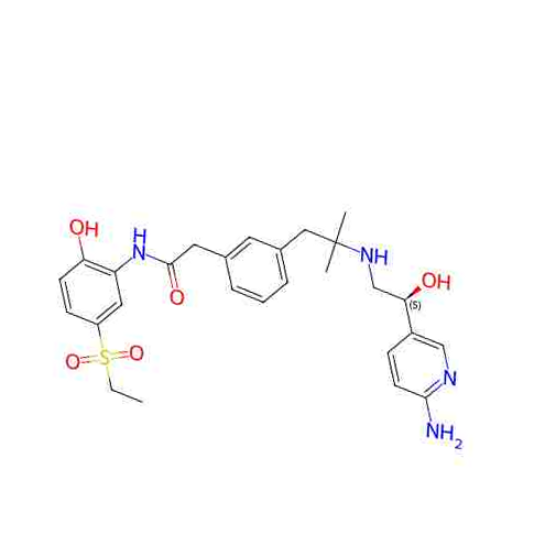 CCS(=O)(=O)c1ccc(O)c(NC(=O)Cc2cccc(CC(C)(C)NC[C@@H](O)c3ccc(N)nc3)c2)c1